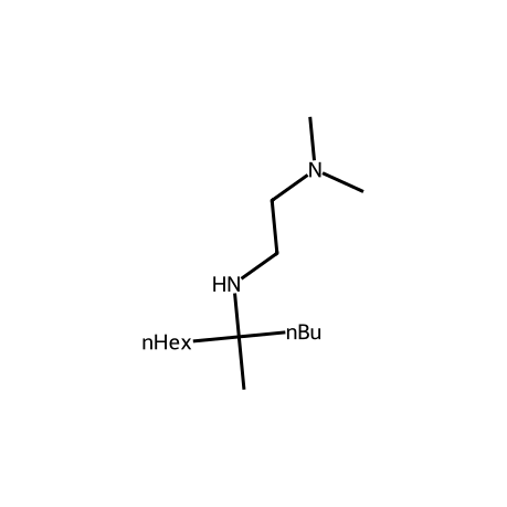 CCCCCCC(C)(CCCC)NCCN(C)C